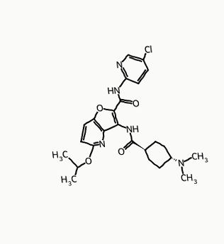 CC(C)Oc1ccc2oc(C(=O)Nc3ccc(Cl)cn3)c(NC(=O)[C@H]3CC[C@H](N(C)C)CC3)c2n1